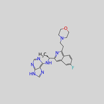 C[C@H](Nc1ncnc2[nH]cnc12)c1cc2cc(F)ccc2c(CCN2CCOCC2)n1